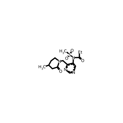 CCC(=O)N(c1cncnc1CN1CCC(C)CC1=O)S(C)(=O)=O